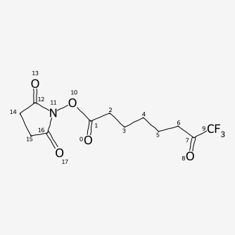 O=C(CCCCCC(=O)C(F)(F)F)ON1C(=O)CCC1=O